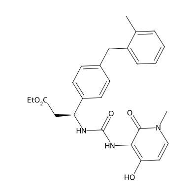 CCOC(=O)C[C@H](NC(=O)Nc1c(O)ccn(C)c1=O)c1ccc(Cc2ccccc2C)cc1